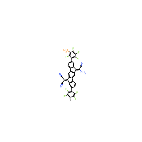 Cc1c(F)c(F)c(-c2ccc3c(c2)C(=C(C#N)C#N)c2cc4c(cc2-3)/C(=C(\N)C#N)c2cc(-c3c(F)c(F)c(F)c(P)c3F)ccc2-4)c(F)c1F